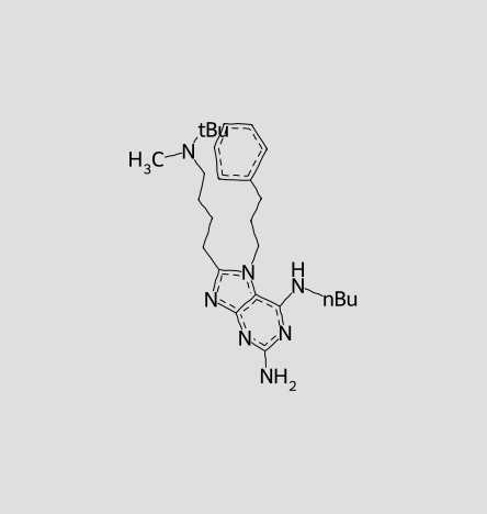 CCCCNc1nc(N)nc2nc(CCCCN(C)C(C)(C)C)n(CCCc3ccccc3)c12